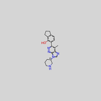 Cc1c(-c2ccc3c(c2O)CCC3)nnc2c1ncn2[C@@H]1CCCNC1